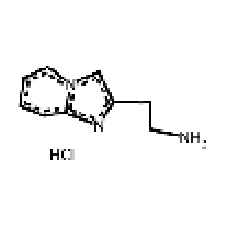 Cl.NCCc1cn2ccccc2n1